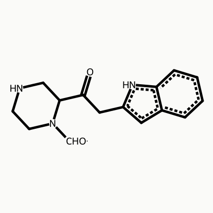 O=[C]N1CCNCC1C(=O)Cc1cc2ccccc2[nH]1